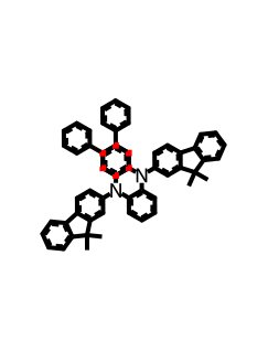 CC1(C)c2ccccc2-c2ccc(N(c3ccc(-c4ccccc4)cc3)c3ccccc3N(c3ccc(-c4ccccc4)cc3)c3ccc4c(c3)C(C)(C)c3ccccc3-4)cc21